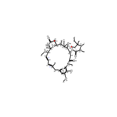 CCC(C)(CC)N(C)[C@@H](C)C(=O)O[C@H]1CC(=O)N(C)c2cc(cc(OC)c2Cl)C/C(C)=C/C=C/[C@@H](OC)[C@@]2(O)C[C@H](OC(=O)N2)[C@@H](C)[C@@H]2O[C@@]12C